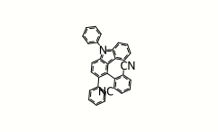 N#Cc1cccc(C#N)c1-c1c(-c2ccccc2)ccc2c1c1ccccc1n2-c1ccccc1